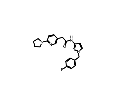 O=C(Cc1ccc(N2CCCC2)nc1)Nc1ccn(Cc2ccc(F)cc2)n1